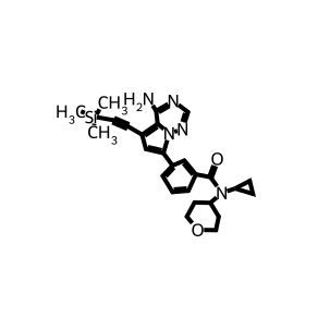 C[Si](C)(C)C#Cc1cc(-c2cccc(C(=O)N(C3CCOCC3)C3CC3)c2)n2ncnc(N)c12